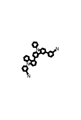 N#Cc1cccc(-c2ccc3c(c2)c2cc(-c4cccc5c4c4ccccc4n5-c4cccc(C#N)c4)ccc2n3-c2ccccc2)c1